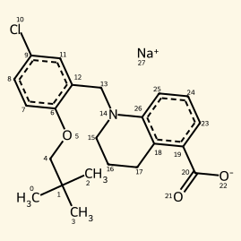 CC(C)(C)COc1ccc(Cl)cc1CN1CCCc2c(C(=O)[O-])cccc21.[Na+]